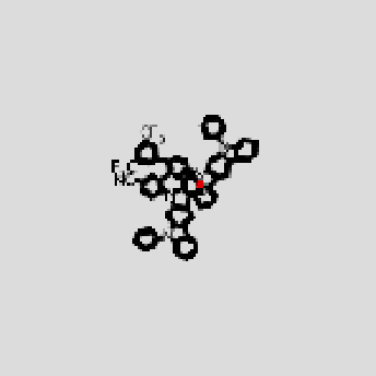 N#Cc1ccc(-n2c3ccccc3c3cc4c5ccccc5n(-c5ccccc5)c4cc32)c(-c2cc(-n3c4ccccc4c4cc5c6ccccc6n(-c6ccccc6)c5cc43)ccc2-c2cc(C(F)(F)F)cc(C(F)(F)F)c2)c1